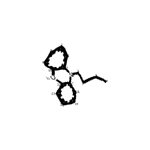 CCCCN1c2ccccc2Oc2ccccc21